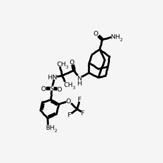 Bc1ccc(S(=O)(=O)NC(C)(C)C(=O)NC2C3CC4CC2CC(C(N)=O)(C4)C3)c(OC(F)(F)F)c1